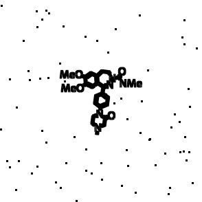 CNC(=O)N1CCc2cc(OC)c(OC)cc2C(c2ccc(N3CCN(C)CC3=O)cc2)=N1